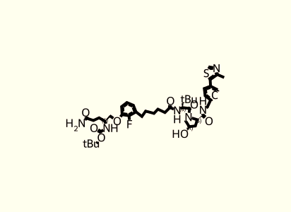 Cc1ncsc1-c1ccc(CNC(=O)[C@@H]2C[C@@H](O)CN2C(=O)[C@@H](NC(=O)CCCCCc2cccc(OC[C@H](CCC(N)=O)NC(=O)OC(C)(C)C)c2F)C(C)(C)C)cc1